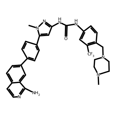 CN1CCN(Cc2ccc(NC(=O)Nc3cc(-c4ccc(-c5ccc6ccnc(N)c6c5)cc4)n(C)n3)cc2C(F)(F)F)CC1